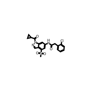 CS(=O)(=O)c1cc(NC(=O)Cc2ccccc2Cl)cc2c1cnn2C(=O)C1CC1